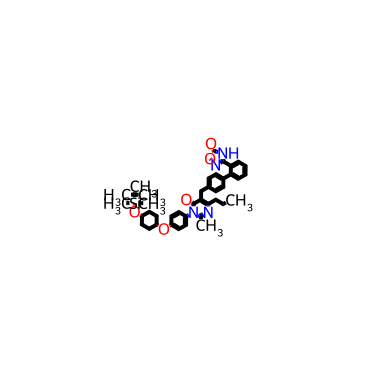 CCCc1nc(C)n(-c2ccc(OC3CCC(O[Si](C)(C)C(C)(C)C)CC3)cc2)c(=O)c1Cc1ccc(-c2ccccc2-c2noc(=O)[nH]2)cc1